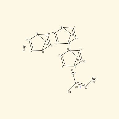 C1=CC2C=CC1C2.C1=CC2C=CC1C2.C1=CC2C=CC1C2.CC(=O)/C=C(/C)[O-].[Ir]